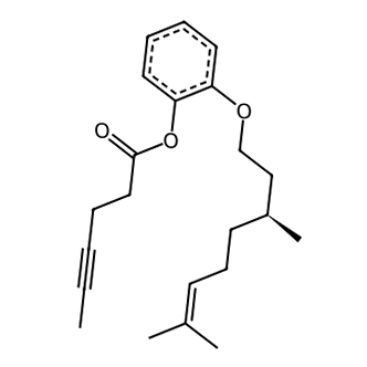 CC#CCCC(=O)Oc1ccccc1OCC[C@@H](C)CCC=C(C)C